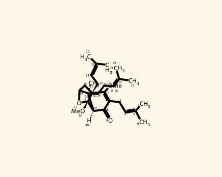 COC1=C(CC=C(C)C)C(=O)[C@H]2[C@]3(OC)OC(C[C@]13CC=C(C)C)[C@@]2(C)CCC=C(C)C